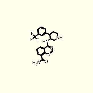 NC(=O)c1cccc2c(NC3CNCCC3c3cccc(C(F)(F)F)c3)ncnc12